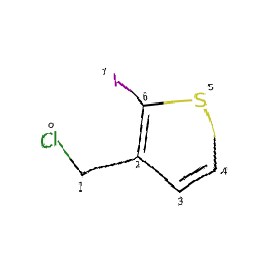 ClCc1ccsc1I